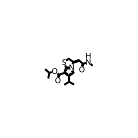 CNC(=O)C=C1CSc2c(C(=O)OC(C)C)c(C(C)C)cn21